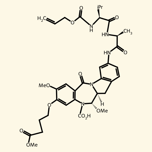 C=CCOC(=O)N[C@H](C(=O)N[C@@H](C)C(=O)Nc1ccc2c(c1)N1C(=O)c3cc(OC)c(OCCCC(=O)OC)cc3N(C(=O)O)[C@@H](OC)[C@@H]1C2)C(C)C